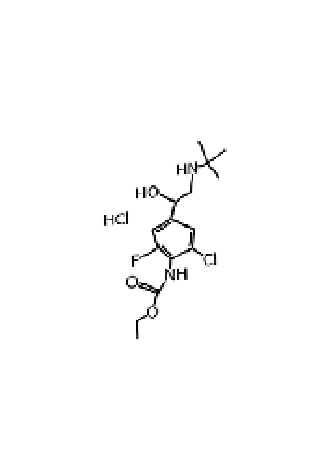 CCOC(=O)Nc1c(F)cc(C(O)CNC(C)(C)C)cc1Cl.Cl